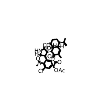 C=C(C)[C@@H]1CC[C@@H](C)[C@]2(O)C([C@H]3[C@@H](C(=O)O)N[C@@H]4ON(C)c5c(Cl)cccc5[C@@]43O)C(OC(=O)COC(C)=O)C(C)=C[C@@H]12